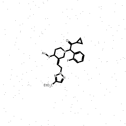 CCOC(=O)c1cnn(C/C=C2\CN(C(C(=O)C3CC3)c3ccccc3F)CCC2SC(C)=O)n1